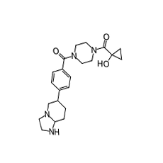 O=C(c1ccc(C2CCC3NCCN3C2)cc1)N1CCN(C(=O)C2(O)CC2)CC1